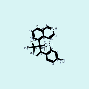 CC(c1ccc(Cl)cc1Cl)C(O)(c1cccc2cnccc12)C(F)(F)F